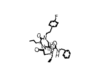 C#CCN1CC(=O)N2[C@@H](CCC)C(=O)N(CCc3ccc(F)cc3)C[C@@H]2N1C(=O)NCc1ccccc1